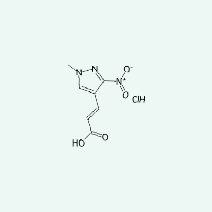 Cl.Cn1cc(C=CC(=O)O)c([N+](=O)[O-])n1